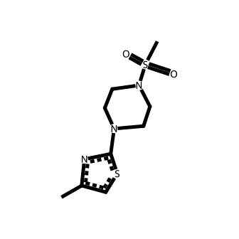 Cc1csc(N2CCN(S(C)(=O)=O)CC2)n1